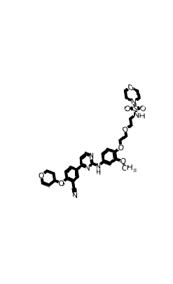 COc1cc(Nc2nccc(-c3ccc(OC4CCOCC4)c(C#N)c3)n2)ccc1OCCOCCNS(=O)(=O)N1CCOCC1